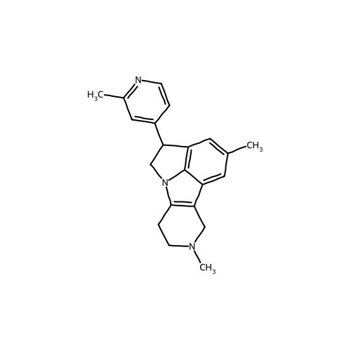 Cc1cc2c3c(c1)c1c(n3CC2c2ccnc(C)c2)CCN(C)C1